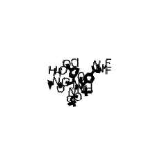 CC(C)(C)C[C@]1(c2ccc(-c3cnn(C(F)F)c3)cc2)NC(=NC(=O)OC(C)(C)C)N(C(COC(=O)NC2CC2)c2ccc(Cl)c(C(=O)O)c2)C1=O